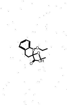 CCON1c2ccccc2CCC1(OCC)C(=O)O